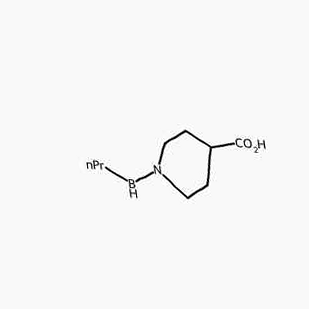 CCCBN1CCC(C(=O)O)CC1